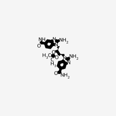 CC1(C)O[C@H](Cn2c(N)nc3cc(C(N)=O)ccc32)[C@@H](Cn2c(N)nc3cc(C(N)=O)ccc32)O1